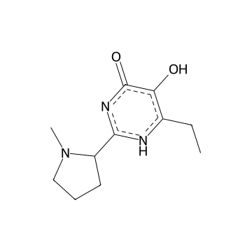 CCc1[nH]c(C2CCCN2C)nc(=O)c1O